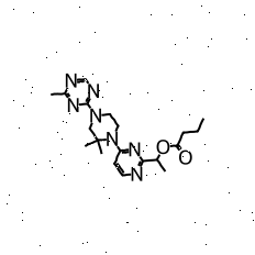 CCCC(=O)OC(C)c1nccc(N2CCN(c3ncnc(C)n3)CC2(C)C)n1